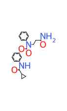 NC(=O)CCN(C(=O)Oc1cccc(NC(=O)C2CC2)c1)c1ccccc1